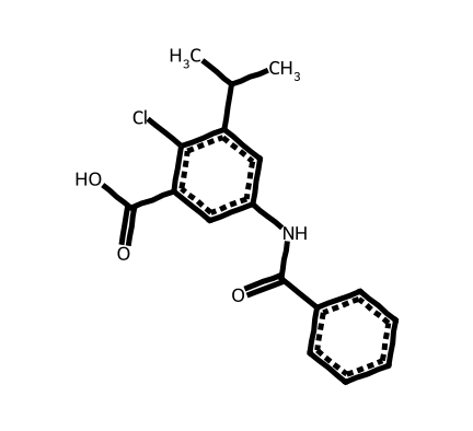 CC(C)c1cc(NC(=O)c2ccccc2)cc(C(=O)O)c1Cl